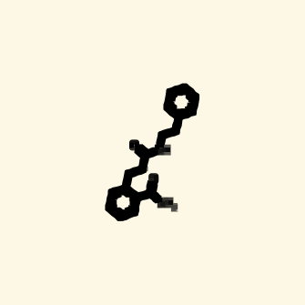 NC(=O)c1ccccc1C[CH]C(=O)NCCc1ccccc1